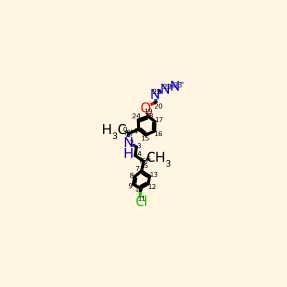 C[C@H](NCC[C@H](C)c1ccc(Cl)cc1)c1cccc(OCN=[N+]=[N-])c1